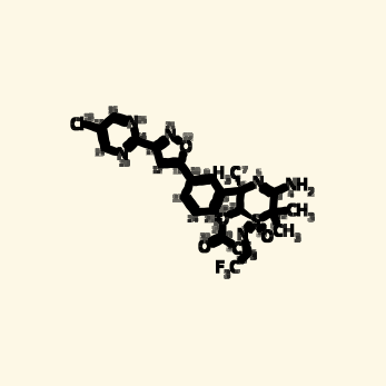 CC1(C)C(N)=N[C@](C)(c2cc(-c3cc(-c4ncc(Cl)cn4)no3)ccc2F)C(OC(=O)C(F)(F)F)[S@@]1(=O)=NCC(F)(F)F